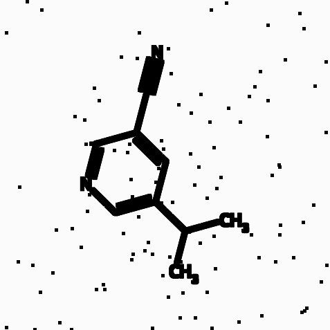 CC(C)c1cn[c]c(C#N)c1